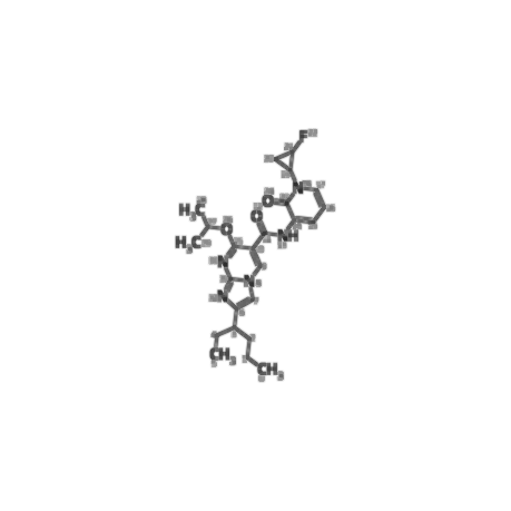 CCCC(CC)c1cn2cc(C(=O)Nc3cccn(C4CC4F)c3=O)c(OC(C)C)nc2n1